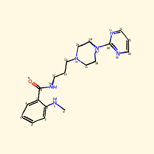 CNc1ccccc1C(=O)NCCCN1CCN(c2ncccn2)CC1